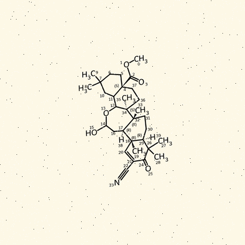 COC(=O)[C@]12CCC(C)(C)CC1C1OC(O)C[C@@H]3[C@@]4(C)C=C(C#N)C(=O)C(C)(C)[C@@H]4CC[C@@]3(C)[C@]1(C)CC2